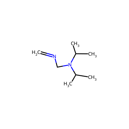 C=NCN(C(C)C)C(C)C